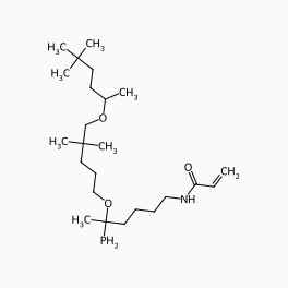 C=CC(=O)NCCCCC(C)(P)OCCCC(C)(C)COC(C)CCC(C)(C)C